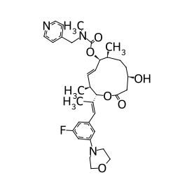 C/C(=C\c1cc(F)cc(N2CCOCC2)c1)[C@H]1OC(=O)C[C@H](O)CC[C@H](C)[C@H](OC(=O)N(C)Cc2ccncc2)/C=C/[C@@H]1C